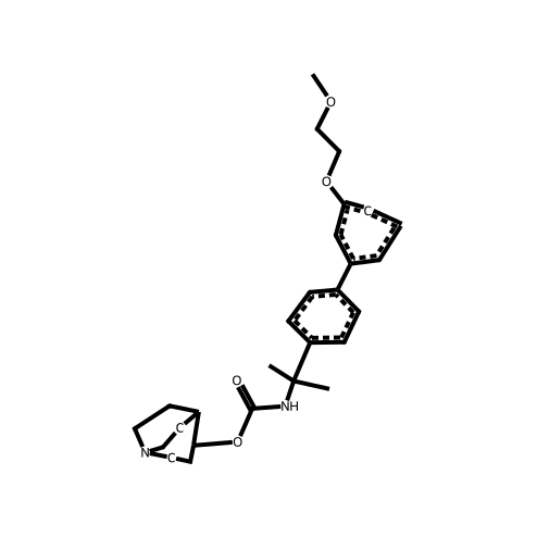 COCCOc1cccc(-c2ccc(C(C)(C)NC(=O)OC3CCN4CCC3CC4)cc2)c1